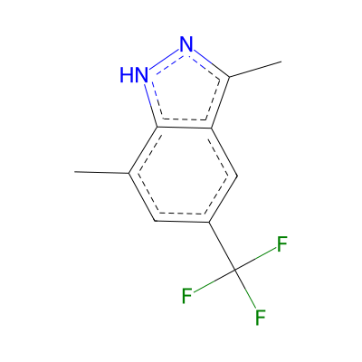 Cc1n[nH]c2c(C)cc(C(F)(F)F)cc12